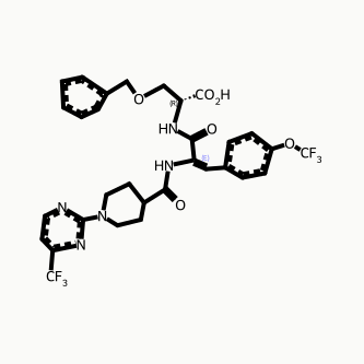 O=C(N[C@H](COCc1ccccc1)C(=O)O)/C(=C\c1ccc(OC(F)(F)F)cc1)NC(=O)C1CCN(c2nccc(C(F)(F)F)n2)CC1